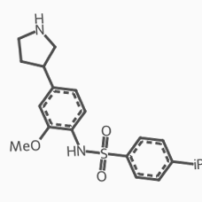 COc1cc(C2CCNC2)ccc1NS(=O)(=O)c1ccc(C(C)C)cc1